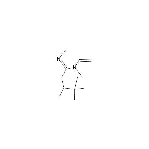 C=CN(C)/C(CC(C)C(C)(C)C)=N\C